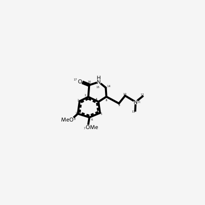 COc1cc2c(cc1OC)C(CCN(C)C)CNC2=O